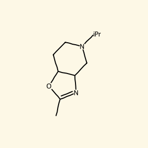 CC1=NC2CN(C(C)C)CCC2O1